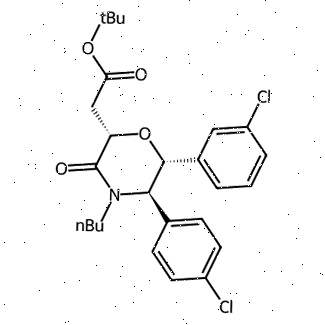 CCCCN1C(=O)[C@H](CC(=O)OC(C)(C)C)O[C@H](c2cccc(Cl)c2)[C@H]1c1ccc(Cl)cc1